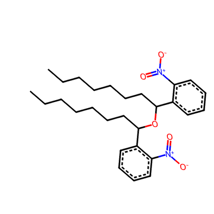 CCCCCCCC(OC(CCCCCCC)c1ccccc1[N+](=O)[O-])c1ccccc1[N+](=O)[O-]